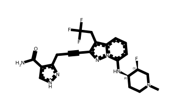 CN1CC[C@@H](Nc2cccc3c(CC(F)(F)F)c(C#CCc4n[nH]cc4C(N)=O)nn23)[C@@H](F)C1